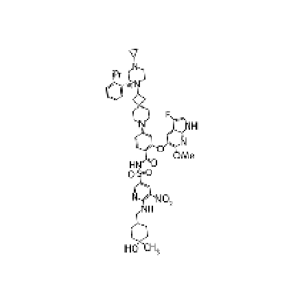 COc1nc2[nH]cc(F)c2cc1Oc1cc(N2CCC3(CC2)CC(N2CCN(C4CC4)C[C@H]2c2ccccc2C(C)C)C3)ccc1C(=O)NS(=O)(=O)c1cnc(NCC2CCC(C)(O)CC2)c([N+](=O)[O-])c1